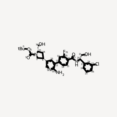 CC(C)(C)OC(=O)N1C[C@@H](c2cnc(N)c(-c3ccc(C(=O)N[C@H](CO)c4cccc(Cl)c4)c(F)c3)c2)C[C@H]1CO